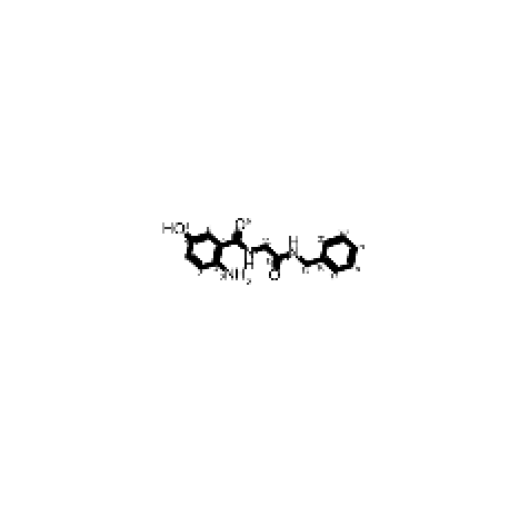 Nc1ccc(O)cc1C(=O)NCC(=O)NCc1ccccc1